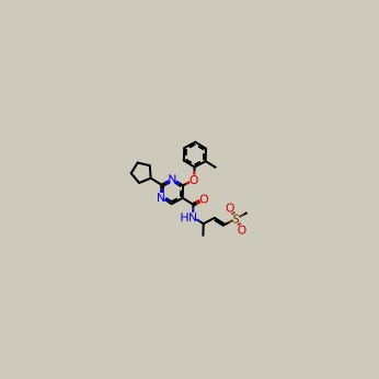 Cc1ccccc1Oc1nc(C2CCCC2)ncc1C(=O)NC(C)C=CS(C)(=O)=O